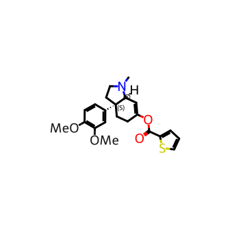 COc1ccc([C@@]23CCC(OC(=O)c4cccs4)=C[C@@H]2N(C)CC3)cc1OC